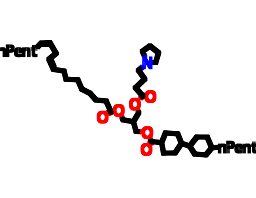 CCCCC/C=C\C/C=C\CCCCCCCC(=O)OCC(COC(=O)CCCN1CCCC1)COC(=O)C1CCC(C2CCC(CCCCC)CC2)CC1